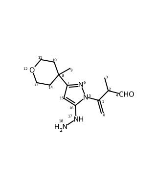 C=C(C(C)C=O)n1nc(C2(C)CCOCC2)cc1NN